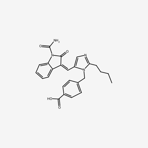 CCCCc1ncc(C=C2C(=O)N(C(N)=O)c3ccccc32)n1Cc1ccc(C(=O)O)cc1